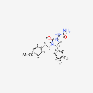 COc1ccc(CCN2C(=O)N(NC(N)=O)CC2c2ccc(C)c(C)c2)cc1